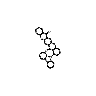 O=c1c2ccccc2sc2cc3c(=O)c4c(-n5c6ccccc6c6ccccc65)cccc4oc3cc12